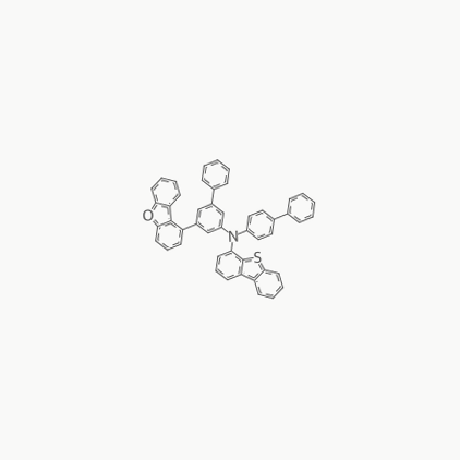 c1ccc(-c2ccc(N(c3cc(-c4ccccc4)cc(-c4cccc5oc6ccccc6c45)c3)c3cccc4c3sc3ccccc34)cc2)cc1